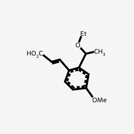 CCOC(C)c1cc(OC)ccc1C=CC(=O)O